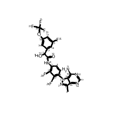 Cc1nn(-c2ccc(NC(=O)C(O)c3cc(F)cc(OC(F)(F)F)c3)c(F)c2F)c2c(N)ncnc12